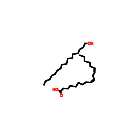 CCCCC/C=C\C/C=C\CCCCCCCC(=O)O.CCCCCCCCCCCCCCCCO